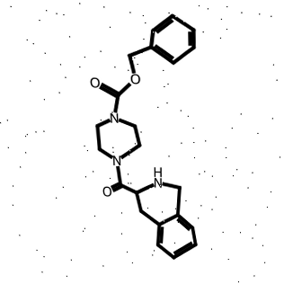 O=C(OCc1ccccc1)N1CCN(C(=O)C2Cc3ccccc3CN2)CC1